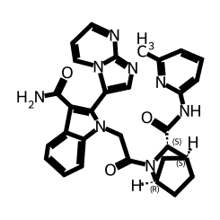 Cc1cccc(NC(=O)[C@@H]2[C@H]3CC[C@H](C3)N2C(=O)Cn2c(-c3cnc4ncccn34)c(C(N)=O)c3ccccc32)n1